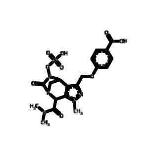 CN(C)C(=O)C1c2c(c(COc3ccc(C(=O)O)cc3)nn2C)C2CN1C(=O)N2OS(=O)(=O)O